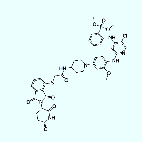 COc1cc(N2CCC(NC(=O)CSc3cccc4c3C(=O)N(C3CCC(=O)NC3=O)C4=O)CC2)ccc1Nc1ncc(Cl)c(Nc2ccccc2P(=O)(OC)OC)n1